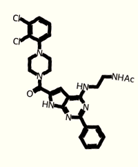 CC(=O)NCCNc1nc(-c2ccccc2)nc2[nH]c(C(=O)N3CCN(c4cccc(Cl)c4Cl)CC3)cc12